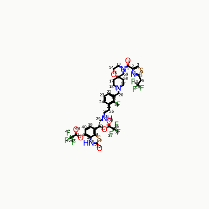 O=C(c1csc(CC(F)(F)F)n1)N1CCOC2(CCN(Cc3cccc(CCNC[C@H](OC(=O)C(F)(F)F)c4ccc(OC(=O)C(F)(F)F)c5[nH]c(=O)sc45)c3F)CC2)C1